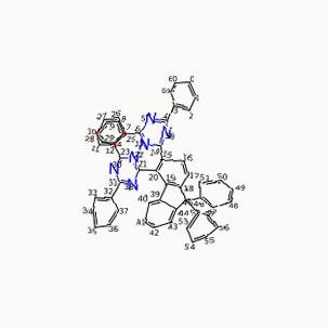 c1ccc(-c2nc(-c3ccccc3)nc(-c3ccc4c(c3-c3nc(-c5ccccc5)nc(-c5ccccc5)n3)-c3ccccc3C4(c3ccccc3)c3ccccc3)n2)cc1